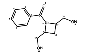 O=C(c1ccccc1)N1C(CO)CC1CO